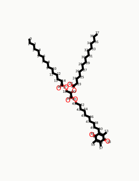 CCCCCCCCCCCCCCCC(=O)OCC(OC(=O)CCCCCCCCCCCCCCC)C(=O)OCCCCCCCCCCC1=C(C)C(=O)C(C)=C(C)C1=O